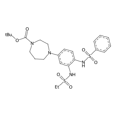 CCS(=O)(=O)Nc1cc(N2CCCN(C(=O)OC(C)(C)C)CC2)ccc1NS(=O)(=O)c1ccccc1